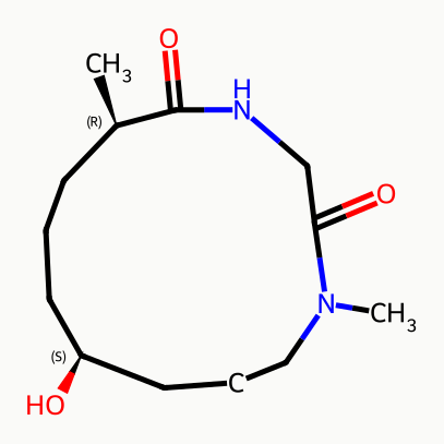 C[C@@H]1CCC[C@H](O)CCCN(C)C(=O)CNC1=O